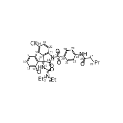 CCN(CC)C(=O)NC1(c2ccccc2Cl)C(=O)N(S(=O)(=O)c2ccc(NC(=O)CC(C)C)cc2)c2ccc(Cl)cc21